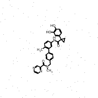 Cc1ccc(NC(=O)C2(c3ccc(O)c(O)c3)CC2)cc1-c1ccc(CN(C)C(=O)c2cnccn2)cc1